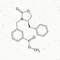 COC(=O)c1cccc(CN2C(=O)OC[C@H]2Cc2ccccc2)c1